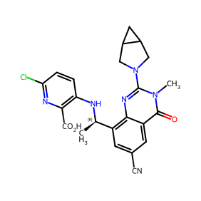 C[C@@H](Nc1ccc(Cl)nc1C(=O)O)c1cc(C#N)cc2c(=O)n(C)c(N3CC4CC4C3)nc12